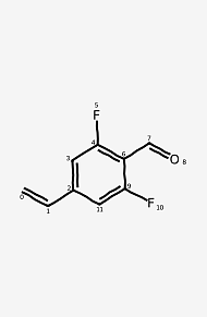 C=Cc1cc(F)c(C=O)c(F)c1